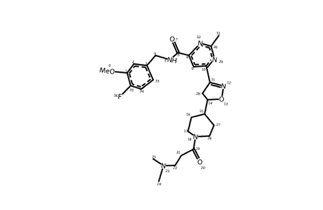 COc1cc(CNC(=O)c2cc(C3=NOC(C4CCN(C(=O)CCN(C)C)CC4)C3)nc(C)n2)ccc1F